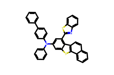 c1ccc(-c2ccc(N(c3ccccc3)c3cc(-c4nc5ccccc5s4)c4c(c3)sc3c5ccccc5ccc34)cc2)cc1